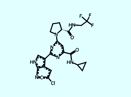 O=C(NC1CC1)c1cc(N2CCC[C@@H]2C(=O)NCC(F)(F)F)nc(-c2c[nH]c3ncc(Cl)cc23)n1